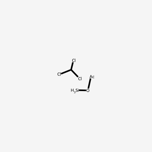 CC(=O)O[SiH3].ClC(Cl)Cl